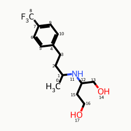 CC(CCc1ccc(C(F)(F)F)cc1)NC(CO)CCO